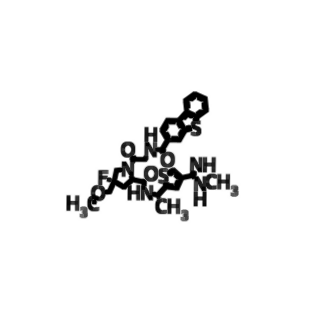 CNC(=N)c1csc([C@@H](C)NC(=O)C2C[C@](F)(COC)CN2C(=O)CNC(=O)c2ccc3c(c2)sc2ccccc23)c1